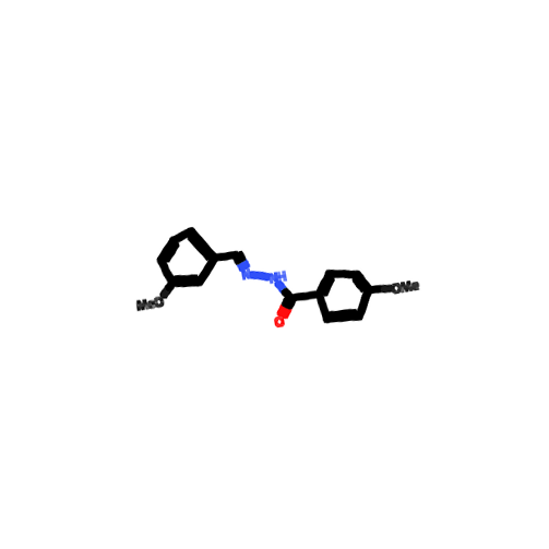 COc1ccc(C(=O)N/N=C/c2cccc(OC)c2)cc1